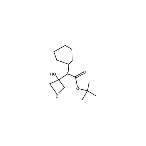 CC(C)(C)OC(=O)N(C1CCCCC1)C1(O)CNC1